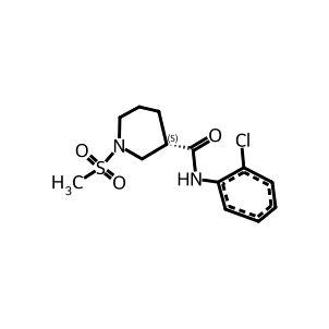 CS(=O)(=O)N1CCC[C@H](C(=O)Nc2ccccc2Cl)C1